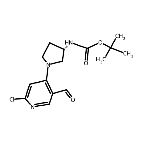 CC(C)(C)OC(=O)N[C@H]1CCN(c2cc(Cl)ncc2C=O)C1